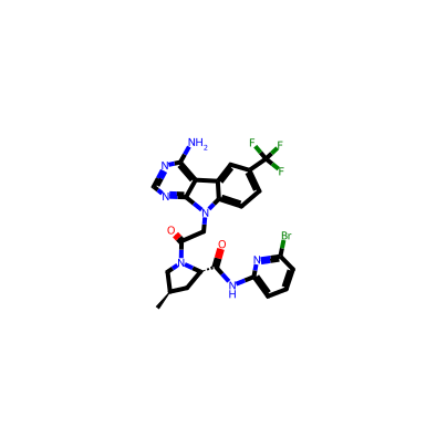 C[C@@H]1C[C@@H](C(=O)Nc2cccc(Br)n2)N(C(=O)Cn2c3ccc(C(F)(F)F)cc3c3c(N)ncnc32)C1